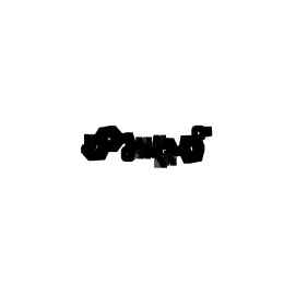 COc1cccc(-c2cnc(NNC(=O)Cc3ccc4ncccc4c3)nn2)c1